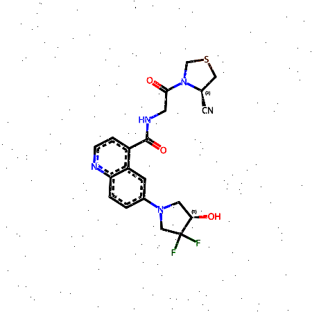 N#C[C@@H]1CSCN1C(=O)CNC(=O)c1ccnc2ccc(N3C[C@@H](O)C(F)(F)C3)cc12